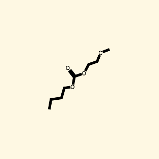 CCCCOC(=O)OCCOC